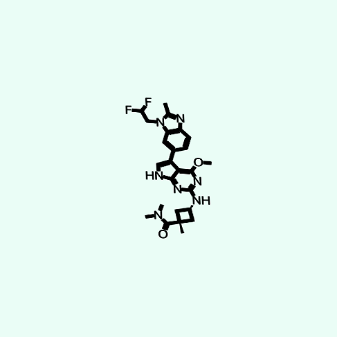 COc1nc(N[C@H]2C[C@@](C)(C(=O)N(C)C)C2)nc2[nH]cc(-c3ccc4nc(C)n(CC(F)F)c4c3)c12